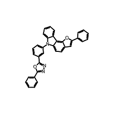 c1ccc(-c2cc3ccc4c(c5ccccc5n4-c4cccc(-c5nnc(-c6ccccc6)o5)c4)c3o2)cc1